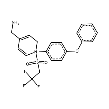 NCC1=CC[N+](c2ccc(Oc3ccccc3)cc2)(S(=O)(=O)CC(F)(F)F)C=C1